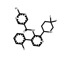 CC(C)c1ncc(C(=O)Nc2c(-c3ccccc3F)ccnc2C2CCC(F)(F)CN2)cn1